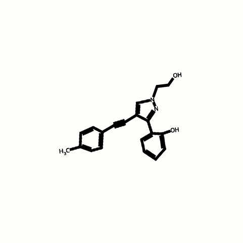 Cc1ccc(C#Cc2cn(CCO)nc2-c2ccccc2O)cc1